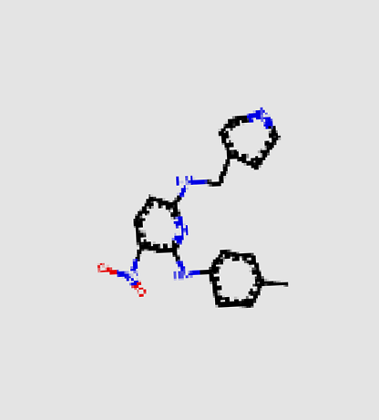 Cc1ccc(Nc2nc(NCc3ccncc3)ccc2[N+](=O)[O-])cc1